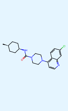 C[C@H]1CC[C@@H](NC(=O)N2CCN(c3ccnc4cc(Cl)ccc34)CC2)CC1